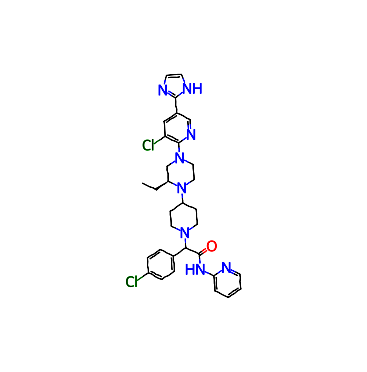 CC[C@H]1CN(c2ncc(-c3ncc[nH]3)cc2Cl)CCN1C1CCN(C(C(=O)Nc2ccccn2)c2ccc(Cl)cc2)CC1